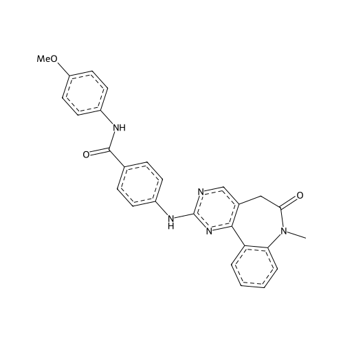 COc1ccc(NC(=O)c2ccc(Nc3ncc4c(n3)-c3ccccc3N(C)C(=O)C4)cc2)cc1